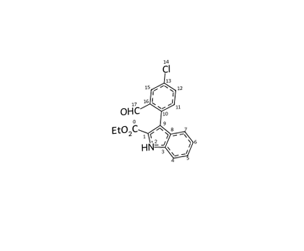 CCOC(=O)c1[nH]c2ccccc2c1-c1ccc(Cl)cc1C=O